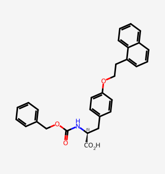 O=C(N[C@@H](Cc1ccc(OCCc2cccc3ccccc23)cc1)C(=O)O)OCc1ccccc1